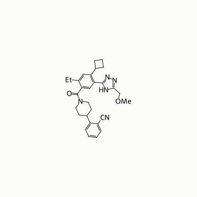 CCc1cc(C2CCC2)c(-c2nnc(COC)[nH]2)cc1C(=O)N1CCC(c2ccccc2C#N)CC1